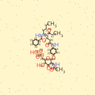 CCCCC(NC(=O)c1ccccc1)N(CCC(=O)Nc1ccc(O[C@@H]2OC(COS(=O)(=O)O)[C@H](O)[C@H](O)C2NC(C)=O)cc1)C(=O)CC